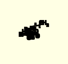 C=CC[C@@H](C=C)OP(=O)(S)NC(=O)C(Br)Br